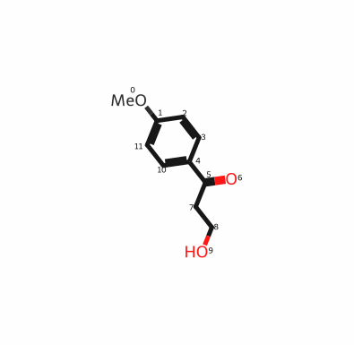 COc1ccc(C(=O)CCO)cc1